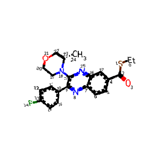 CCSC(=O)c1ccc2nc(-c3ccc(F)cc3)c(N3CCOC[C@@H]3C)nc2c1